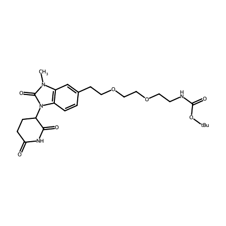 Cn1c(=O)n(C2CCC(=O)NC2=O)c2ccc(CCOCCOCCNC(=O)OC(C)(C)C)cc21